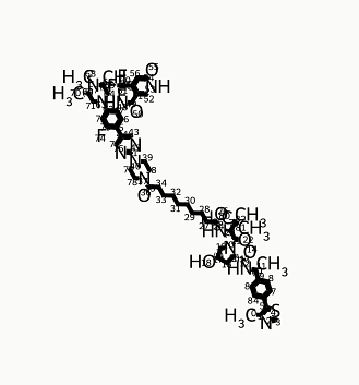 Cc1ncsc1-c1ccc([C@H](C)NC(=O)[C@@H]2C[C@@H](O)CN2C(=O)[C@@H](NC(=O)CCCCCCCCC(=O)N2CCN(c3ncc(-c4cc(NC(=O)c5c[nH]c(=O)cc5C(F)(F)F)c(N5C[C@@H](C)N(C)[C@@H](C)C5)cc4F)cn3)CC2)C(C)(C)C)cc1